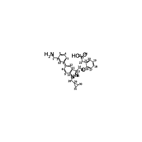 NCc1cccc(-c2ccc3c(c2)c(COc2ccccc2CC(=O)O)nn3CC2CC2)c1